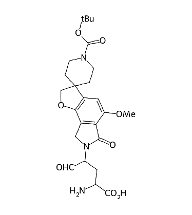 COc1cc2c(c3c1C(=O)N(C(C=O)CC(N)C(=O)O)C3)OCC21CCN(C(=O)OC(C)(C)C)CC1